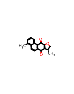 Cc1cccc2c3c(ccc12)C(=O)C1=C(OC[C@H]1C)C3=O